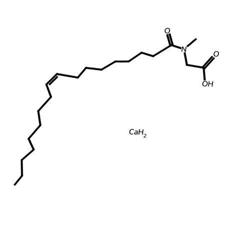 CCCCCCCC/C=C\CCCCCCCC(=O)N(C)CC(=O)O.[CaH2]